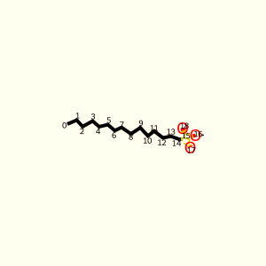 CCCCCCCCCCCCCCCS([O])(=O)=O